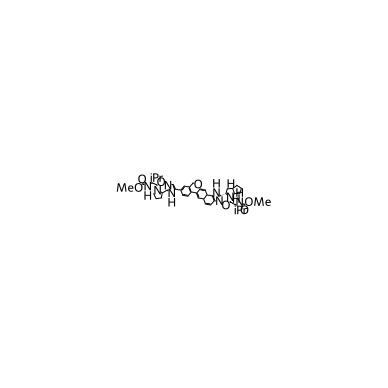 COC(=O)N[C@H](C(=O)N1CCCC1c1ncc(-c2ccc3c(c2)COC2=CC4c5[nH]c([C@@H]6C[C@@H]7CCC[C@@H]7N6C(=O)[C@@H](NC(=O)OC)C(C)C)nc5C=CC4C=C23)[nH]1)C(C)C